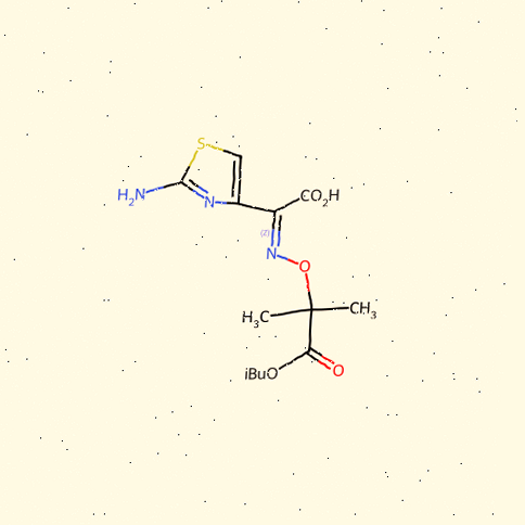 CC(C)COC(=O)C(C)(C)O/N=C(\C(=O)O)c1csc(N)n1